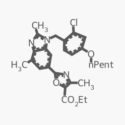 CCCCCOc1ccc(Cn2c(C)nc3c(C)cc(-c4nc(C)c(C(=O)OCC)o4)cc32)c(Cl)c1